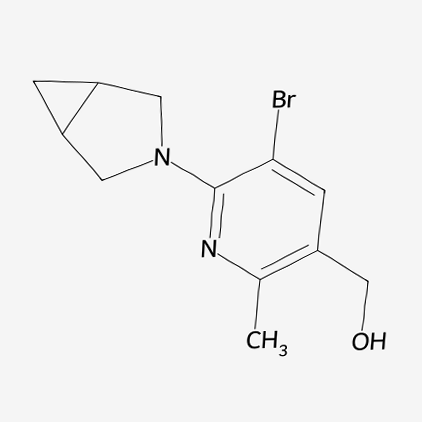 Cc1nc(N2CC3CC3C2)c(Br)cc1CO